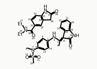 CC(Nc1ccc(N(C)S(C)(=O)=O)cc1)=C1C(=O)Nc2ccccc21.CCN(CC)C(=O)c1ccc2c(c1)CC(=O)N2